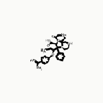 CCC(Oc1ccc(C(=N)N)cc1)C(c1ccccc1)(C(C(=O)O)N1CCNCC1=O)N1CCNCC1=O